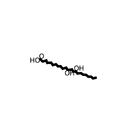 CCCCCCCCC(O)CCC(O)CCCCCCCCCCC(=O)O